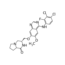 COc1cc2c(Nc3ccc(Cl)c(Cl)c3F)ncnc2cc1OC[C@@H]1CN2CCCC2C(=O)N1